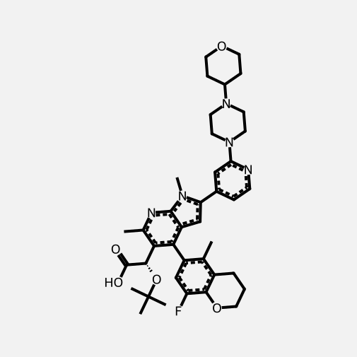 Cc1nc2c(cc(-c3ccnc(N4CCN(C5CCOCC5)CC4)c3)n2C)c(-c2cc(F)c3c(c2C)CCCO3)c1[C@H](OC(C)(C)C)C(=O)O